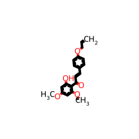 C=CCOc1ccc(/C=C/C(=O)c2c(O)cc(OC)cc2OC)cc1